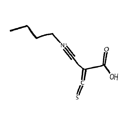 CCCC[N+]#CC(=C=S)C(=O)O